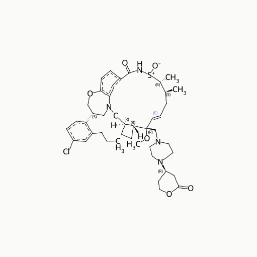 CCCc1cc(Cl)ccc1[C@@H]1COc2ccc3cc2N(C1)C[C@@H]1CC[C@H]1[C@@](CN1CCN([C@@H]2CCOC(=O)C2)CC1)(OC)/C=C/C[C@H](C)[C@@H](C)[S+]([O-])NC3=O